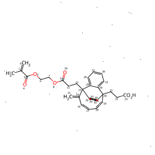 C=C(C)C(=O)OCCOC(=O)CCC12C(=C)/C=C\C=C/C(CCC(=O)O)(c3ccccc31)c1ccccc12